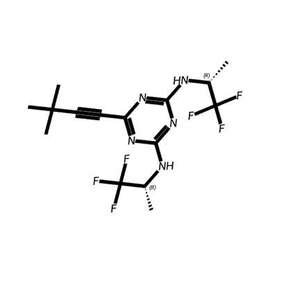 C[C@@H](Nc1nc(C#CC(C)(C)C)nc(N[C@H](C)C(F)(F)F)n1)C(F)(F)F